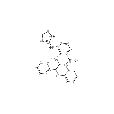 O=C(O)CC(Sc1ccccc1NC(=O)c1cccc(NC2=NCCN2)c1)c1ccccc1